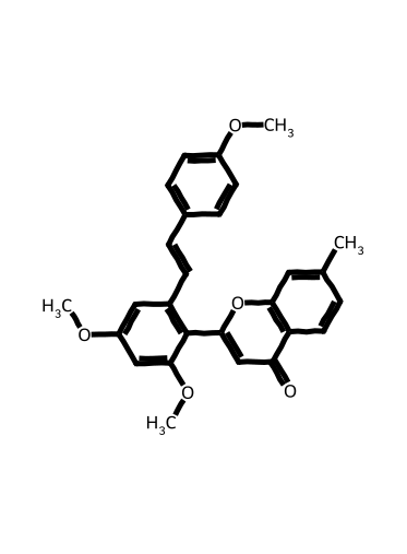 COc1ccc(C=Cc2cc(OC)cc(OC)c2-c2cc(=O)c3ccc(C)cc3o2)cc1